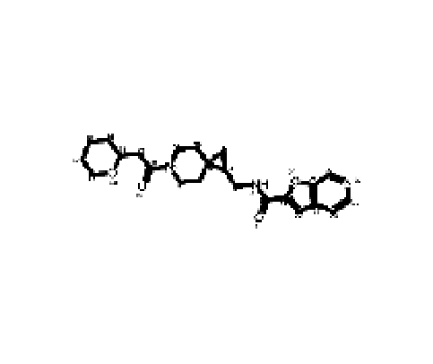 O=C(NCC1CC12CCN(C(=O)CC1CCCCO1)CC2)c1cc2ccncc2o1